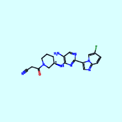 N#CCC(=O)N1CCC[C@@H](Nc2nc(-c3cnc4ccc(F)cn34)ncc2N)C1